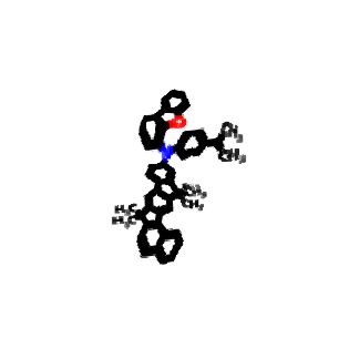 CC(C)c1ccc(N(c2ccc3c(c2)C(C)(C)c2cc4c(cc2-3)C(C)(C)c2ccc3ccccc3c2-4)c2cccc3c2oc2ccccc23)cc1